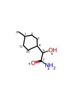 CC1CCC(C(O)C(N)=O)CC1